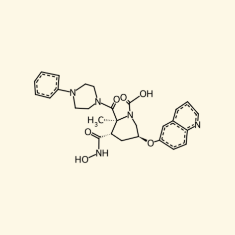 C[C@@]1(C(=O)N2CCN(c3ccccc3)CC2)[C@@H](C(=O)NO)C[C@H](Oc2ccc3ncccc3c2)CN1C(=O)O